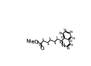 COC(=O)CCCCCc1nccc2ccccc12